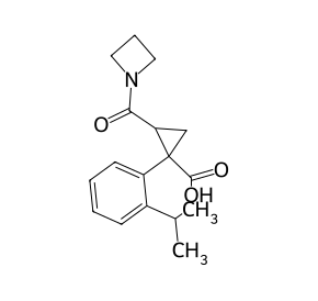 CC(C)c1ccccc1C1(C(=O)O)CC1C(=O)N1CCC1